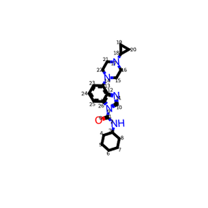 O=C(NC1CCCCC1)n1cnc2c(N3CCN(C4CC4)CC3)cccc21